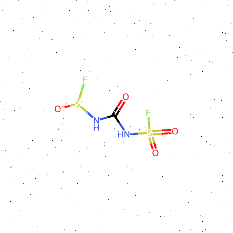 O=C(N[S+]([O-])F)NS(=O)(=O)F